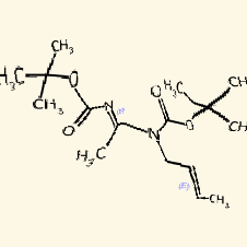 C/C=C/CN(C(=O)OC(C)(C)C)/C(C)=N/C(=O)OC(C)(C)C